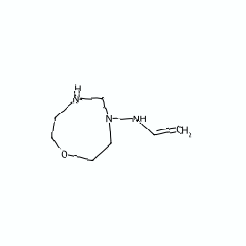 C=CNN1CCOCCNC1